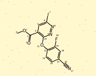 COC(=O)c1cc(I)nnc1Oc1ccc(C#N)cc1F